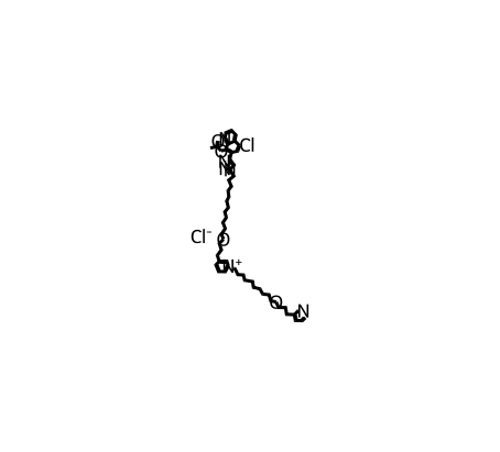 CC(=O)Oc1c(-c2cn(CCCCCCCCCCCCOCCCc3ccc[n+](CCCCCCCCCCOCCCc4cccnc4)c3)nn2)cc(Cl)c2cccnc12.[Cl-]